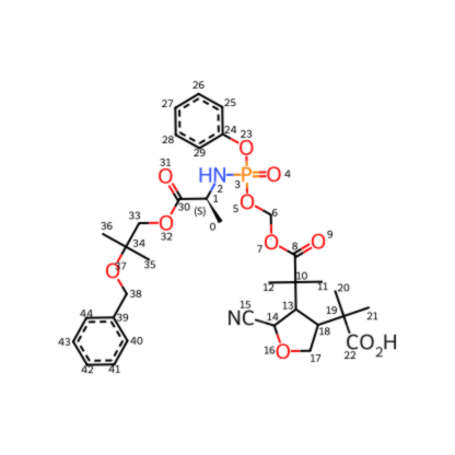 C[C@H](NP(=O)(OCOC(=O)C(C)(C)C1C(C#N)OCC1C(C)(C)C(=O)O)Oc1ccccc1)C(=O)OCC(C)(C)OCc1ccccc1